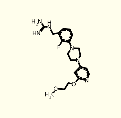 COCCOc1cc(N2CCN(c3cccc(CNC(=N)N)c3F)CC2)ccn1